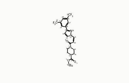 CC(C)(C)OC(=O)N1CCN(C(=O)/C=C\n2ccc(-c3cc(C(F)(F)F)cc(C(F)(F)F)c3)n2)CC1